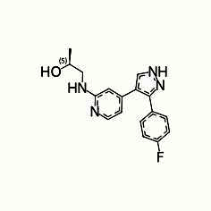 C[C@H](O)CNc1cc(-c2c[nH]nc2-c2ccc(F)cc2)ccn1